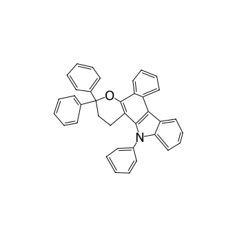 c1ccc(-n2c3ccccc3c3c4ccccc4c4c(c32)CCC(c2ccccc2)(c2ccccc2)O4)cc1